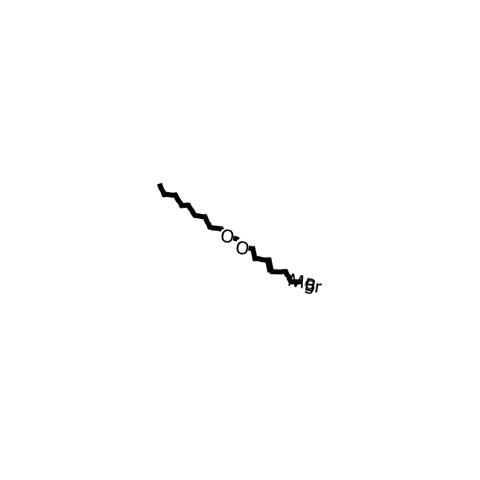 CCCCCCCCCOCOCC/C=C/C[CH2][Mg][Br]